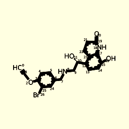 C#COc1ccc(CNC[C@H](O)c2ccc(O)c3[nH]c(=O)ccc23)cc1Br